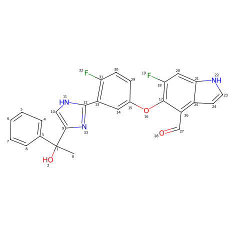 CC(O)(c1ccccc1)c1c[nH]c(-c2cc(Oc3c(F)cc4[nH]ccc4c3C=O)ccc2F)n1